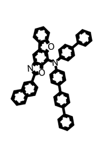 c1ccc(-c2ccc(-c3ccc(N(c4ccc(-c5ccccc5)cc4)c4c5oc(-c6ccc7ccccc7c6)nc5cc5c4oc4ccccc45)cc3)cc2)cc1